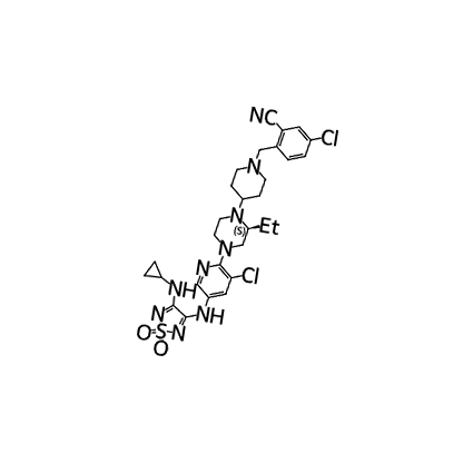 CC[C@H]1CN(c2ncc(NC3=NS(=O)(=O)N=C3NC3CC3)cc2Cl)CCN1C1CCN(Cc2ccc(Cl)cc2C#N)CC1